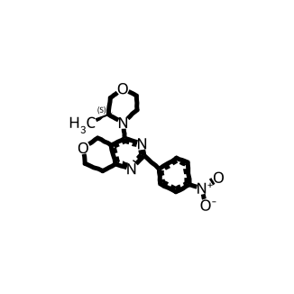 C[C@H]1COCCN1c1nc(-c2ccc([N+](=O)[O-])cc2)nc2c1COCC2